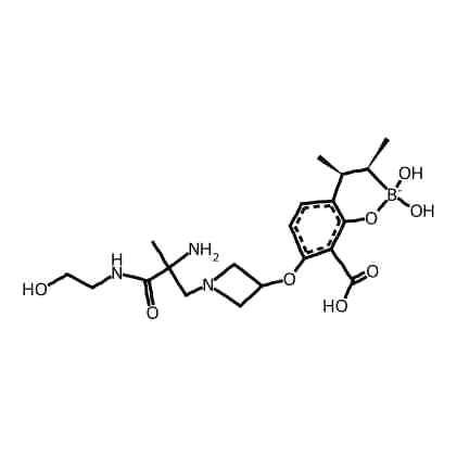 C[C@@H]1c2ccc(OC3CN(CC(C)(N)C(=O)NCCO)C3)c(C(=O)O)c2O[B-](O)(O)[C@@H]1C